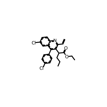 C=Cc1nc2ccc(Cl)cc2c(-c2ccc(Cl)cc2)c1C(CCC)C(=O)OCC